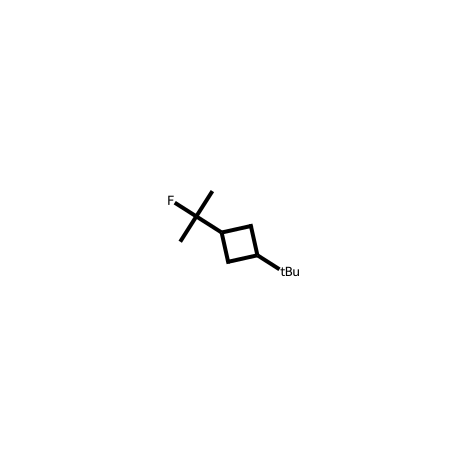 CC(C)(C)C1CC(C(C)(C)F)C1